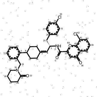 O=C(N[C@H](C=C1CCC(c2ccccc2CN2CCCCC2=O)CC1)Cc1ccc(Cl)cc1)c1cc(=O)c2cccc(Cl)c2o1